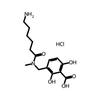 CN(Cc1ccc(O)c(C(=O)O)c1O)C(=O)CCCCCN.Cl